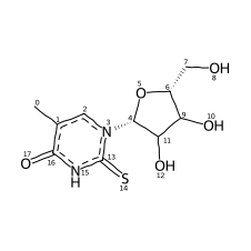 Cc1cn([C@@H]2O[C@H](CO)C(O)C2O)c(=S)[nH]c1=O